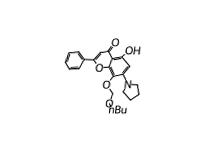 CCCCOCOc1c(N2CCCC2)cc(O)c2c(=O)cc(-c3ccccc3)oc12